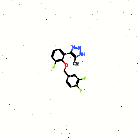 N#Cc1[nH]nnc1-c1cccc(F)c1OCc1ccc(F)c(F)c1